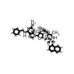 C[C@H](NP(=O)(OC[C@H]1OC(n2cnc3c(NCc4ccccc4)nc(N)nc32)[C@](C)(O)[C@@H]1O)Oc1cccc2ccccc12)C(=O)OCC(C)(C)C